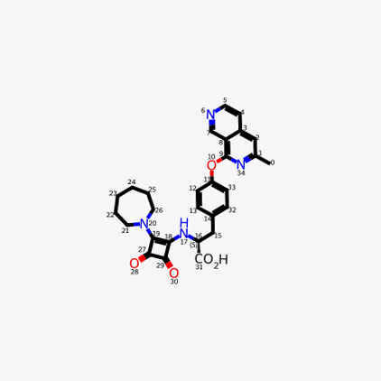 Cc1cc2ccncc2c(Oc2ccc(C[C@H](Nc3c(N4CCCCCC4)c(=O)c3=O)C(=O)O)cc2)n1